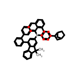 CC1(C)c2ccccc2-c2c(-c3ccccc3-c3ccccc3)cc(N(c3ccc(C4CC5CCC4C5)cc3)c3cccc4cccc(C5CCCCC5)c34)cc21